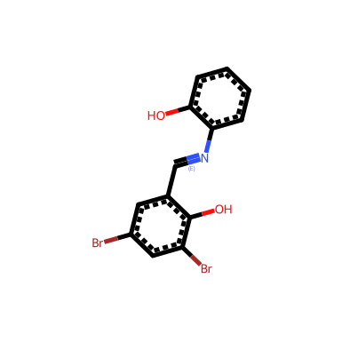 Oc1ccccc1/N=C/c1cc(Br)cc(Br)c1O